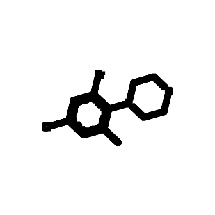 Cc1cc(Cl)cc(Br)c1N1CCOCC1